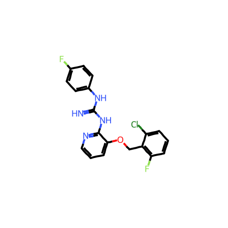 N=C(Nc1ccc(F)cc1)Nc1ncccc1OCc1c(F)cccc1Cl